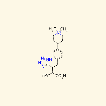 CCC[C@H](C(=O)O)[C@H](Cc1ccc(C2CC[N+](C)(C)CC2)cc1)c1nnn[nH]1